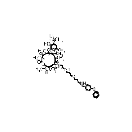 CC[C@H]1OC(=O)[C@H](C)C(=O)[C@H](C)[C@@H](O[C@@H]2O[C@H](C)C[C@H](N(C)C)[C@H]2O)[C@@](C)(OC)C[C@@H](C)C(=NOCCNCCCOCCCNCc2ccc(Oc3ccccc3)cc2)[C@H](C)[C@@H](O)[C@]1(C)O